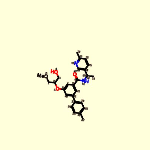 COCC(CO)Oc1cc(C(=O)N[C@H](C)c2ccc(C)nc2)cc(-c2ccc(C)cc2)c1